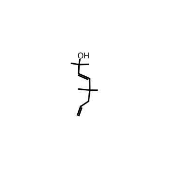 C=CCC(C)(C)C=CC(C)(C)O